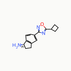 N[C@@H]1CCc2cc(-c3noc(C4CCC4)n3)ccc21